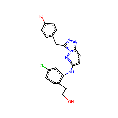 OCCc1ccc(Cl)cc1Nc1ccc2nnc(Cc3ccc(O)cc3)n2n1